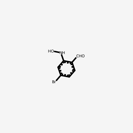 O=Cc1ccc(Br)cc1NO